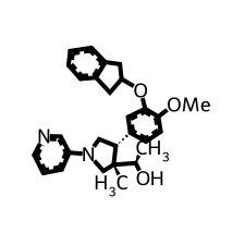 COc1ccc([C@H]2CN(c3cccnc3)C[C@@]2(C)[C@@H](C)O)cc1OC1Cc2ccccc2C1